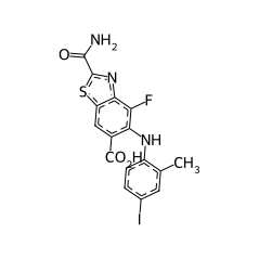 Cc1cc(I)ccc1Nc1c(C(=O)O)cc2sc(C(N)=O)nc2c1F